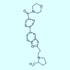 CC1CCCN1CCc1cc2cc(-c3ccc(C(=O)N4CCOCC4)cc3)ccc2o1